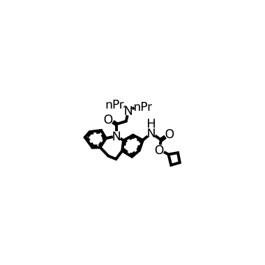 CCCN(CCC)CC(=O)N1c2ccccc2CCc2ccc(NC(=O)OC3CCC3)cc21